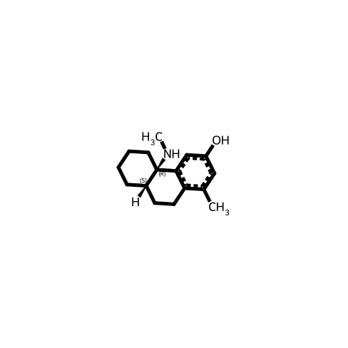 CN[C@]12CCCC[C@H]1CCc1c(C)cc(O)cc12